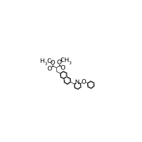 COC(=O)C(Cc1ccc2cc(-c3cccc(Oc4ccccc4)n3)ccc2c1)C(=O)OC